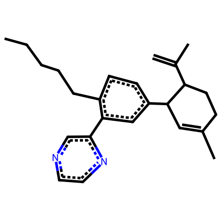 C=C(C)C1CCC(C)=CC1c1ccc(CCCCC)c(-c2cnccn2)c1